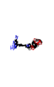 N#Cc1cnc2[nH]cc(CCCCN3CCC(Oc4ccc5c(c4)OCCO5)CC3)c2c1